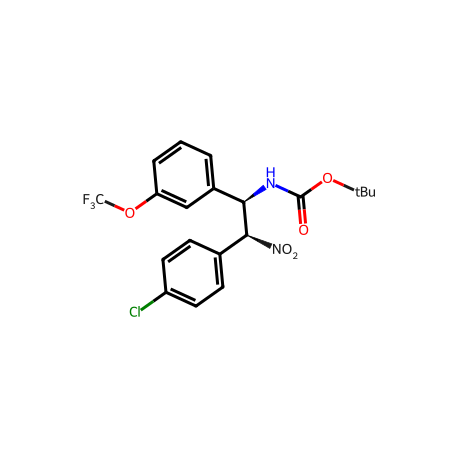 CC(C)(C)OC(=O)N[C@H](c1cccc(OC(F)(F)F)c1)[C@H](c1ccc(Cl)cc1)[N+](=O)[O-]